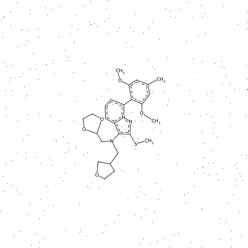 COc1cc(C)cc(OC)c1-c1cccc2c(N(CC3CCOC3)CC3OCCO3)c(SC)nn12